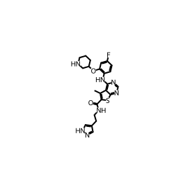 Cc1c(C(=O)NCCc2cn[nH]c2)sc2ncnc(Nc3ccc(F)cc3OC3CCCNC3)c12